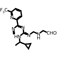 C=N/C(=N\C(=N/CNCC=O)NC(C)C1CC1)c1cccc(C(F)(F)F)n1